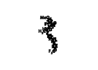 COc1ccc(N2C(=O)CS/C2=N\C(=O)NC(C)CCc2ccc(-c3ncn(-c4ccc(OC(F)(F)F)cc4)n3)cc2)c(C(C)C)c1